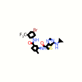 Cc1ccc(C(=O)Nc2cc(Br)cc(C(F)(F)F)c2)cc1NC(=O)c1csc2c(NC3CC3)ncnc12